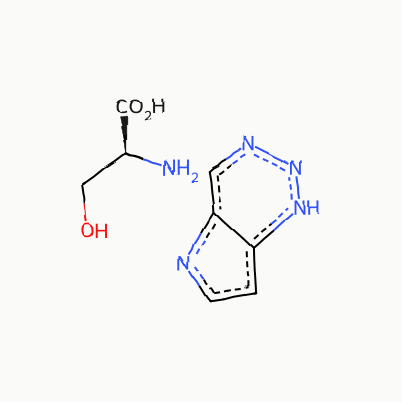 N[C@@H](CO)C(=O)O.c1cc2[nH]nncc-2n1